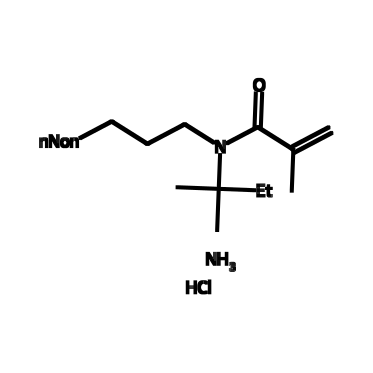 C=C(C)C(=O)N(CCCCCCCCCCCC)C(C)(C)CC.Cl.N